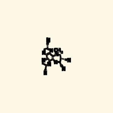 CN1CC(C#N)C(C#N)=Nc2c1c1nc(C#N)cnc1c1c2=NC(C#N)CN=1